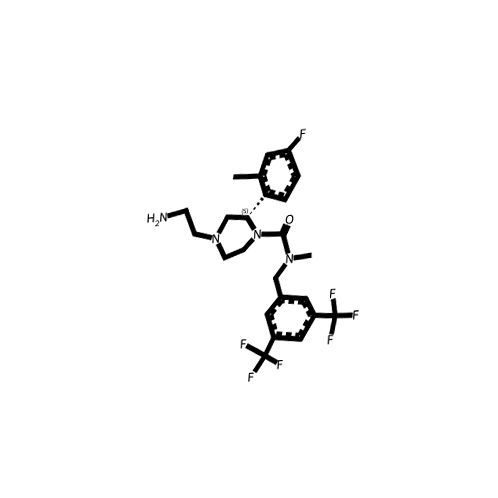 Cc1cc(F)ccc1[C@H]1CN(CCN)CCN1C(=O)N(C)Cc1cc(C(F)(F)F)cc(C(F)(F)F)c1